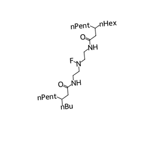 CCCCCCC(CCCCC)CC(=O)NCCN(F)CCNC(=O)CC(CCCC)CCCCC